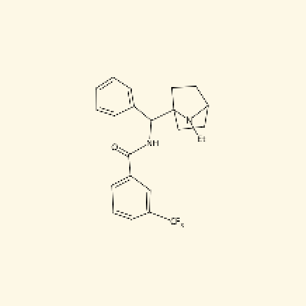 CCN1C2CCC1(C(NC(=O)c1cccc(C(F)(F)F)c1)c1ccccc1)CC2